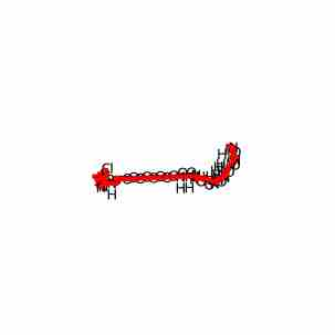 Cc1sc2c(c1C)C(c1ccc(Cl)cc1)=N[C@@H](CC(=O)Nc1ccc(CCCOCCOCCOCCOCCOCCOCCOCCOCCNC(=O)CCNC(=O)c3nc(NC(=O)CCNC(=O)c4cc(NC(=O)c5nc(NC(=O)CCNC(=O)c6cc(NC(=O)c7nccn7C)cn6C)cn5C)cn4C)cn3C)cc1)c1nnc(C)n1-2